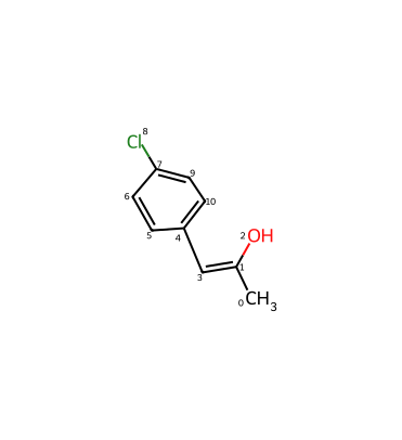 C/C(O)=C/c1ccc(Cl)cc1